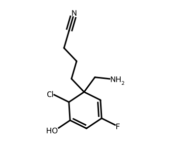 N#CCCCC1(CN)C=C(F)C=C(O)C1Cl